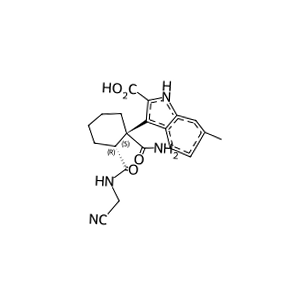 Cc1ccc2c([C@]3(C(N)=O)CCCC[C@H]3C(=O)NCC#N)c(C(=O)O)[nH]c2c1